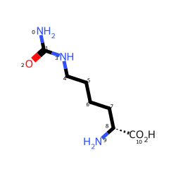 NC(=O)NCCCC[C@@H](N)C(=O)O